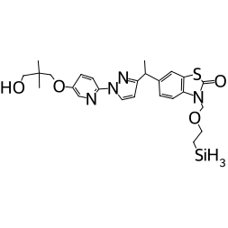 CC(c1ccc2c(c1)sc(=O)n2COCC[SiH3])c1ccn(-c2ccc(OCC(C)(C)CO)cn2)n1